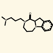 CN(C)CCCN1CCCN2c3ccccc3CC2C1=O